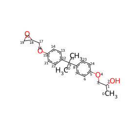 CC(O)[CH]Oc1ccc(C(C)(C)c2ccc(OCC3CO3)cc2)cc1